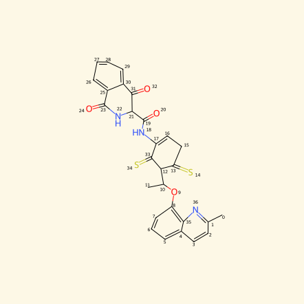 Cc1ccc2cccc(OC(C)C3C(=S)CC=C(NC(=O)C4NC(=O)c5ccccc5C4=O)C3=S)c2n1